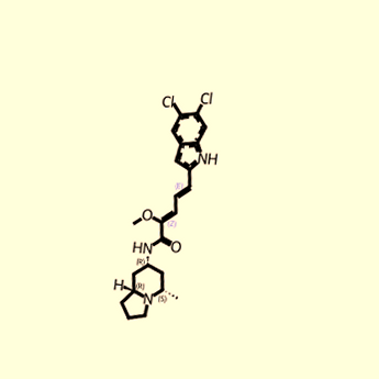 CO/C(=C\C=C\c1cc2cc(Cl)c(Cl)cc2[nH]1)C(=O)N[C@H]1C[C@H]2CCCN2[C@@H](C)C1